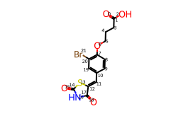 O=C(O)CCCOc1ccc(/C=C2\SC(=O)NC2=O)cc1Br